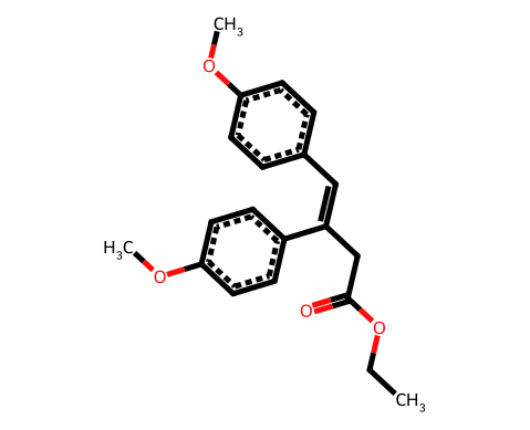 CCOC(=O)CC(=Cc1ccc(OC)cc1)c1ccc(OC)cc1